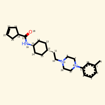 Cc1cccc(N2CCN(CC[C@H]3CC[C@H](NC(=O)C4CC=CC4)CC3)CC2)c1